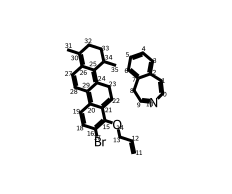 C1=Cc2ccccc2CC=N1.C=CCOc1c(Br)ccc2c1=CCc1c3c(ccc1=2)=C(C)CCC3C